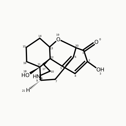 O=C1C(O)=CC2=C3C[C@H]4NCC[C@@]25C(CCC[C@@]45O)OC13